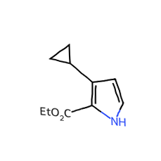 CCOC(=O)c1[nH]ccc1C1CC1